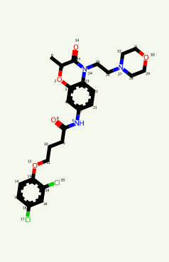 CC1Oc2cc(NC(=O)CCCOc3ccc(Cl)cc3Cl)ccc2N(CCN2CCOCC2)C1=O